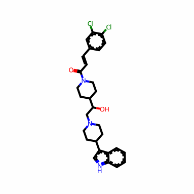 O=C(/C=C/c1ccc(Cl)c(Cl)c1)N1CCC(C(O)CN2CCC(c3c[nH]c4ccccc34)CC2)CC1